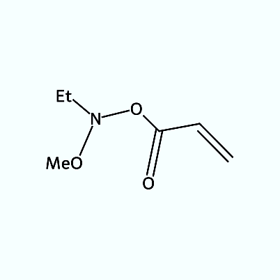 C=CC(=O)ON(CC)OC